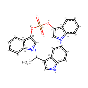 O=C(O)Cc1c[nH]c2ccccc12.O=S(=O)(Oc1c[nH]c2ccccc12)Oc1c[nH]c2ccccc12